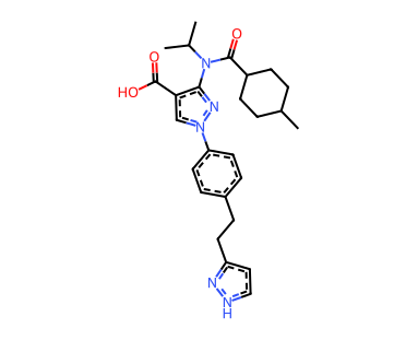 CC1CCC(C(=O)N(c2nn(-c3ccc(CCc4cc[nH]n4)cc3)cc2C(=O)O)C(C)C)CC1